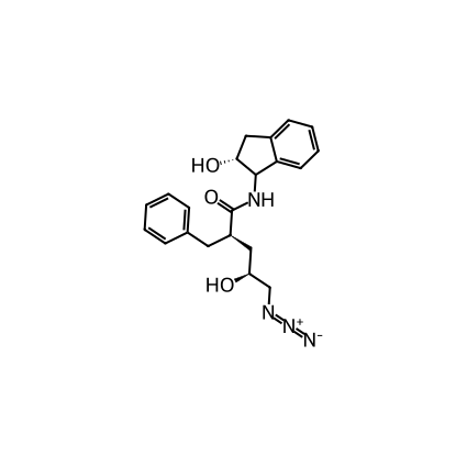 [N-]=[N+]=NC[C@@H](O)C[C@@H](Cc1ccccc1)C(=O)NC1c2ccccc2C[C@H]1O